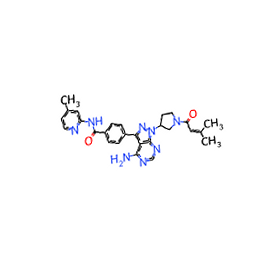 CC(C)=CC(=O)N1CCC(n2nc(-c3ccc(C(=O)Nc4cc(C)ccn4)cc3)c3c(N)ncnc32)C1